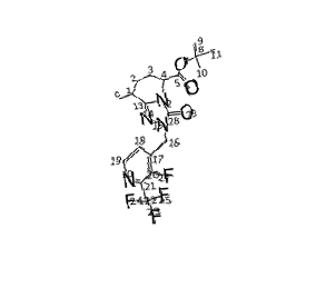 CC1CCC(C(=O)OC(C)(C)C)n2c1nn(Cc1ccnc(C(F)(F)F)c1F)c2=O